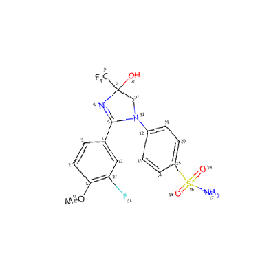 COc1ccc(C2=NC(O)(C(F)(F)F)CN2c2ccc(S(N)(=O)=O)cc2)cc1F